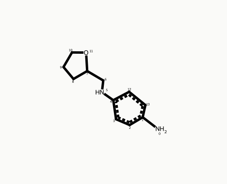 Nc1ccc(NCC2CCCO2)cc1